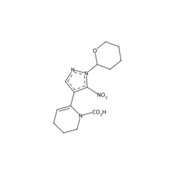 O=C(O)N1CCCC=C1c1cnn(C2CCCCO2)c1[N+](=O)[O-]